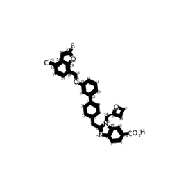 O=C(O)c1ccc2nc(CC3CC=C(c4cccc(OCc5ccc(Cl)c6cc(F)oc56)c4)CC3)n(C[C@@H]3CCO3)c2c1